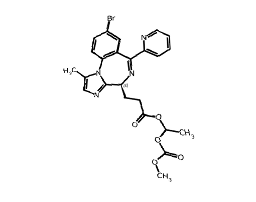 COC(=O)OC(C)OC(=O)CC[C@@H]1N=C(c2ccccn2)c2cc(Br)ccc2-n2c(C)cnc21